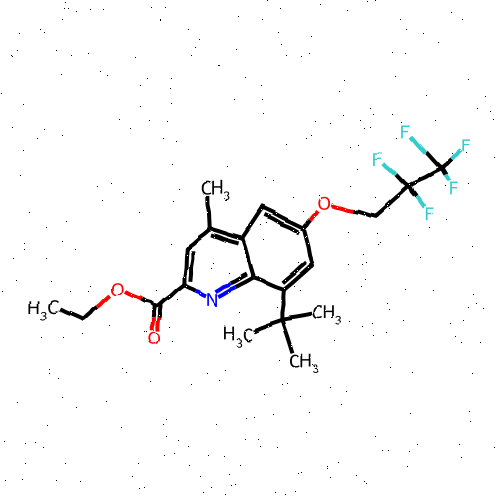 CCOC(=O)c1cc(C)c2cc(OCC(F)(F)C(F)(F)F)cc(C(C)(C)C)c2n1